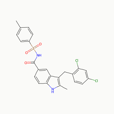 Cc1ccc(S(=O)(=O)NC(=O)c2ccc3[nH]c(C)c(Cc4ccc(Cl)cc4Cl)c3c2)cc1